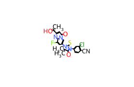 C[C@H](O)c1cc(=O)n2cc(N3C(=S)N(c4ccc(C#N)c(Cl)c4)C(=O)C3(C)C)cc(F)c2n1